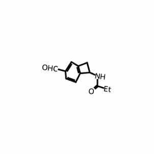 CCC(=O)NC1Cc2cc(C=O)ccc21